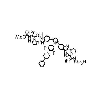 COC(=O)N[C@H](C(=O)N1CCC[C@H]1c1nc2cc([C@H]3CC[C@@H](c4ccc5[nH]c([C@@H]6CCCN6C(=O)[C@H](C(C)C)N(C)C(=O)O)nc5c4)N3c3cc(F)c(N4CCC(c5ccccc5)CC4)c(F)c3)ccc2[nH]1)C(C)C